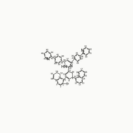 Ic1ccc2c(c1C1=CC(c3cccc4ccccc34)CC(C3=NC(c4ccc(-c5ccccn5)cc4)=CC(c4ccc(-c5ccccn5)cc4)N3)=C1)CCC=C2